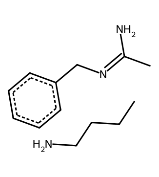 CC(N)=NCc1ccccc1.CCCCN